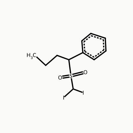 CCCC(c1ccccc1)S(=O)(=O)C(I)I